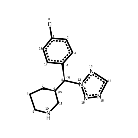 Clc1ccc([C@H]([C@@H]2CCCNC2)n2ncnn2)cc1